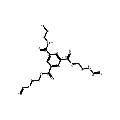 C=COCCOC(=O)c1cc(C(=O)OCCC)cc(C(=O)OCCOC=C)c1